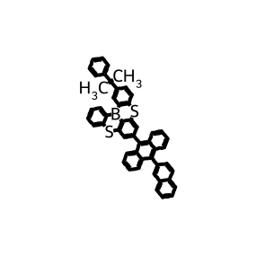 CC(C)(c1ccccc1)c1ccc2c(c1)B1c3ccccc3Sc3cc(-c4c5ccccc5c(-c5ccc6ccccc6c5)c5ccccc45)cc(c31)S2